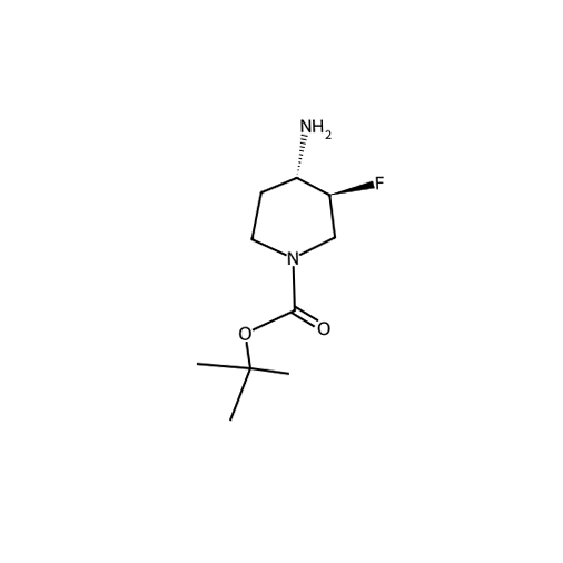 CC(C)(C)OC(=O)N1CC[C@H](N)[C@@H](F)C1